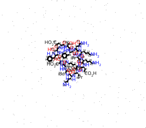 CC[C@H](C)[C@H](NC(=O)[C@H](CCCCN)NC(=O)[C@H](CC(C)C)NC(=O)[C@H](CCCCN)NC(=O)[C@H](CCC(=O)O)NC(=O)[C@H](CCCCN)NC(=O)[C@@H](NC(=O)[C@H](CCCCN)NC(=O)[C@H](CCC(N)=O)NC(=O)[C@H](Cc1ccccc1)NC(=O)[C@@H](NC(=O)[C@H](CCC(=O)O)NC(=O)[C@H](CO)NC(=O)[C@@H](N)Cc1ccccc1)[C@@H](C)O)C(C)C)C(=O)N[C@@H](CC(=O)O)C(=O)N[C@@H](CO)C(=O)O